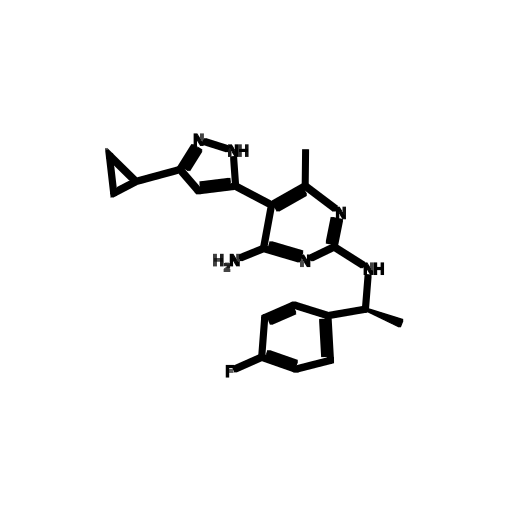 Cc1nc(N[C@@H](C)c2ccc(F)cc2)nc(N)c1-c1cc(C2CC2)n[nH]1